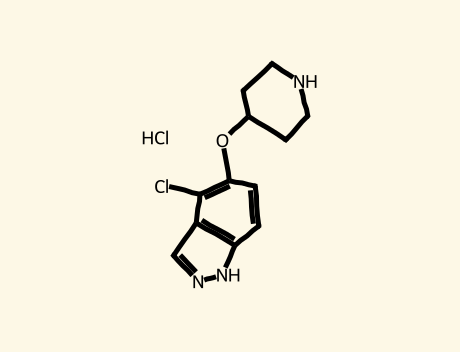 Cl.Clc1c(OC2CCNCC2)ccc2[nH]ncc12